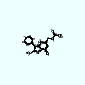 Cc1nn2c(=O)cc(COC(=O)C(F)(F)F)[nH]c2c1-c1ccccc1